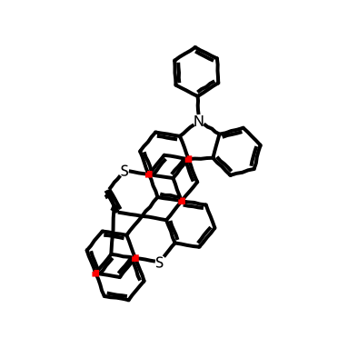 c1ccc(-c2cccc3c2C2(c4ccccc4S3)c3ccccc3Sc3cccc(-c4cccc5c4c4ccccc4n5-c4ccccc4)c32)cc1